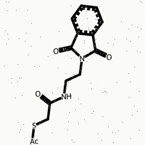 CC(=O)SCC(=O)NCCN1C(=O)c2ccccc2C1=O